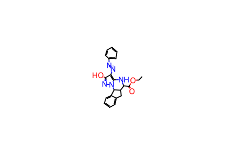 CCOC(=O)C1Nc2c(/N=N/c3ccccc3)c(O)nn2C2c3ccccc3CC12